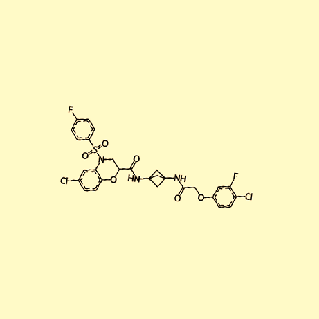 O=C(COc1ccc(Cl)c(F)c1)NC12CC(NC(=O)C3CN(S(=O)(=O)c4ccc(F)cc4)c4cc(Cl)ccc4O3)(C1)C2